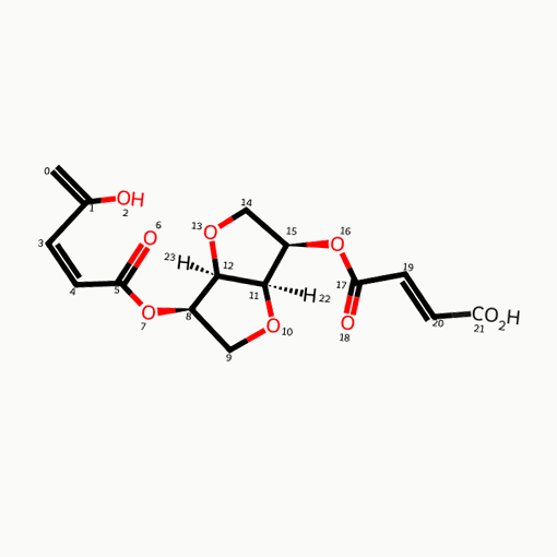 C=C(O)/C=C\C(=O)O[C@@H]1CO[C@H]2[C@@H]1OC[C@H]2OC(=O)/C=C/C(=O)O